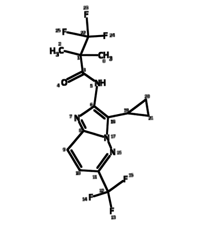 CC(C)(C(=O)Nc1nc2ccc(C(F)(F)F)nn2c1C1CC1)C(F)(F)F